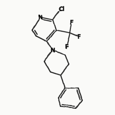 FC(F)(F)c1c(N2CCC(c3ccccc3)CC2)ccnc1Cl